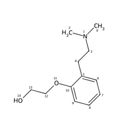 CN(C)CCc1ccccc1OCCO